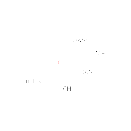 CCCCCCC(C)O[Si](OC)(OC)OC